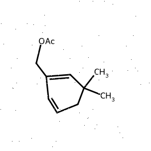 CC(=O)OCC1=CC(C)(C)CC=C1